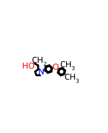 C=C(O)CC1CCCN1c1ccc(Oc2ccc(C)cc2C)cc1